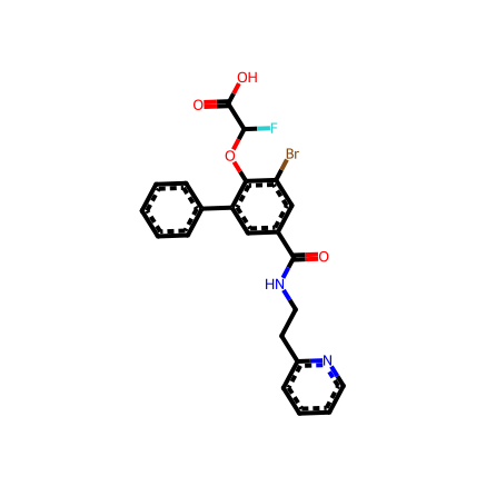 O=C(NCCc1ccccn1)c1cc(Br)c(OC(F)C(=O)O)c(-c2ccccc2)c1